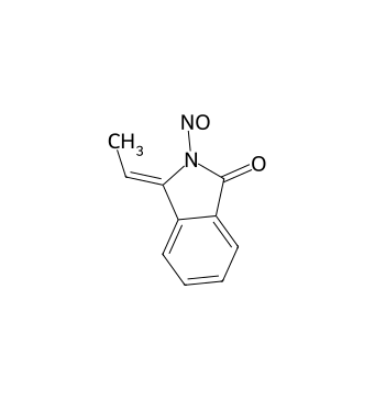 CC=C1c2ccccc2C(=O)N1N=O